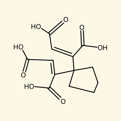 O=C(O)/C=C(\C(=O)O)C1(/C(=C/C(=O)O)C(=O)O)CCCC1